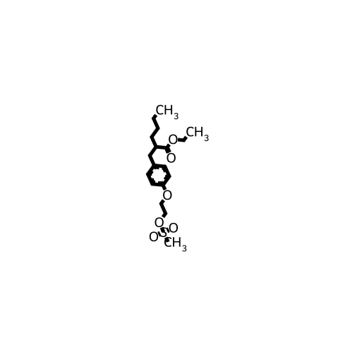 CCCCC(Cc1ccc(OCCOS(C)(=O)=O)cc1)C(=O)OCC